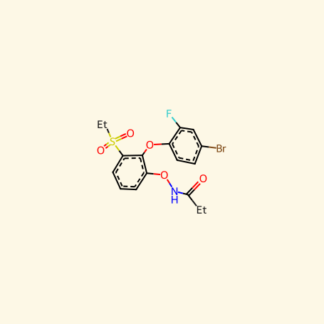 CCC(=O)NOc1cccc(S(=O)(=O)CC)c1Oc1ccc(Br)cc1F